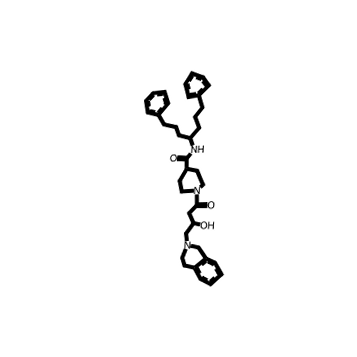 O=C(NC(CCCc1ccccc1)CCCc1ccccc1)C1CCN(C(=O)CC(O)CN2CCc3ccccc3C2)CC1